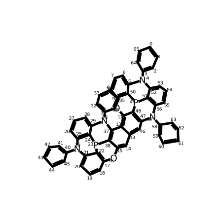 c1ccc(-n2c3cccc4oc5c6c(cc7oc8cccc9c8p8c%10c(cccc%10n(-c%10ccccc%10)c6c78)n9-c6ccccc6)cc6c5p(c43)c3c2cccc3n6-c2ccccc2)cc1